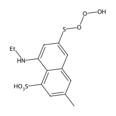 CCNc1cc(SOOO)cc2cc(C)cc(S(=O)(=O)O)c12